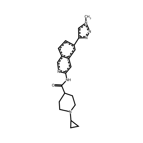 Cn1cc(-c2ccc3cnc(NC(=O)C4CCN(C5CC5)CC4)cc3c2)nn1